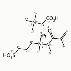 C=C(C)C(=O)N(C)[N+](C)(CCC)CCCS(=O)(=O)O.C[N+](C)(C)CC(=O)O